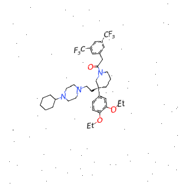 CCOc1ccc([C@@]2(CCN3CCN(C4CCCCC4)CC3)CCCN(C(=O)Cc3cc(C(F)(F)F)cc(C(F)(F)F)c3)C2)cc1OCC